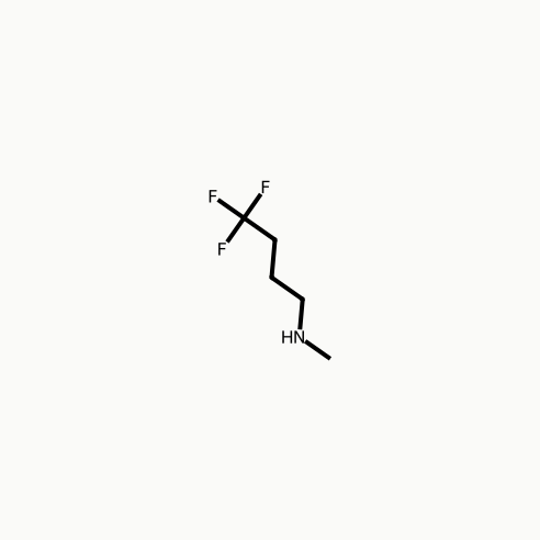 CNCCCC(F)(F)F